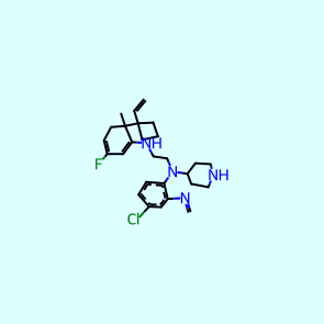 C=CC1(C2(C)CC=C(F)C=C2NCCN(c2ccc(Cl)cc2N=C)C2CCNCC2)CCC1